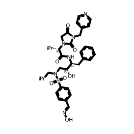 CC(C)CN(C[C@@H](O)[C@H](Cc1ccccc1)NC(=O)[C@H](C(C)C)N1CC(=O)N(Cc2ccncc2)C1=O)S(=O)(=O)c1ccc(C=NO)cc1